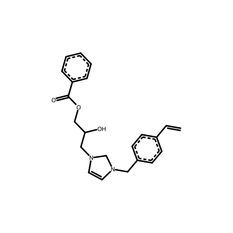 C=Cc1ccc(CN2C=CN(CC(O)COC(=O)c3ccccc3)C2)cc1